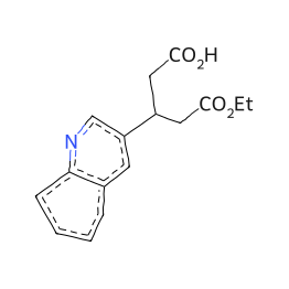 CCOC(=O)CC(CC(=O)O)c1cnc2ccccc2c1